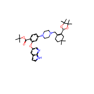 CC1(C)CCC(CN2CCN(c3ccc(C(=O)OC(C)(C)C)c(Oc4cnc5[nH]ccc5c4)c3)CC2)=C(B2OC(C)(C)C(C)(C)O2)C1